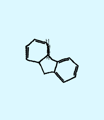 C1=CC2Cc3ccccc3C23NNNCC3=C1